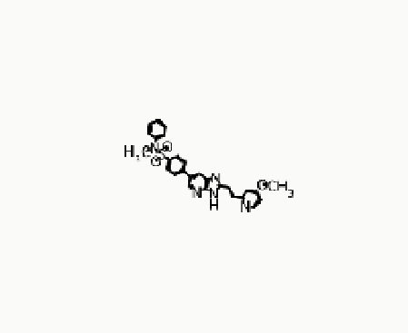 COc1ccnc(CCc2nc3cc(-c4ccc(S(=O)(=O)N(C)c5ccccc5)cc4)cnc3[nH]2)c1